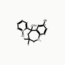 CC(=O)OC1(c2cccc[n+]2[O-])CC(C)(C)COc2ccc(Br)cc21